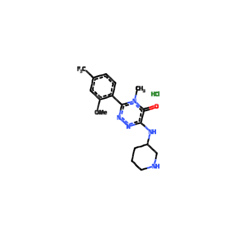 COc1cc(C(F)(F)F)ccc1-c1nnc(NC2CCCNC2)c(=O)n1C.Cl